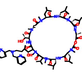 CC(C)C[C@@H]1C(=O)N[C@H](CC(C)C)C(=O)N(C)C(C(C)C)C(=O)N(C)C([C@H](O)[C@H](C)CCN(Cc2ccccn2)Cc2ccccn2)C(=O)NC([C@@H](C)O)C(=O)N(C)CC(=O)N(C)[C@@H](CC(C)C)C(=O)N[C@H](CC(C)C)C(=O)N(C)[C@H](CC(C)C)C(=O)N[C@H](C)C(=O)OC(=O)N1C